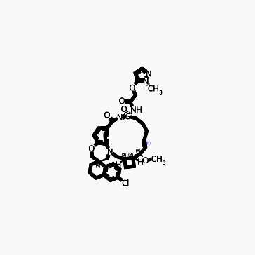 CO[C@H]1/C=C/CCCS(=O)(NC(=O)COc2ccnn2C)=NC(=O)c2ccc3c(c2)N(C[C@@H]2CC[C@H]21)C[C@@]1(CCCc2cc(Cl)ccc21)CO3